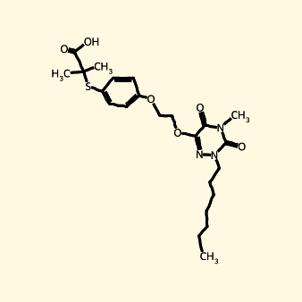 CCCCCCCn1nc(OCCOc2ccc(SC(C)(C)C(=O)O)cc2)c(=O)n(C)c1=O